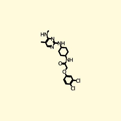 CNc1nc(NC2CCC(NC(=O)COc3ccc(Cl)c(Cl)c3)CC2)ncc1C